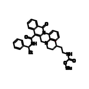 CCC(NC(=O)c1c(CN2CCC(CCNC(=O)OC(C)(C)C)CC2)n(-c2ccccc2)c(=O)c2ccccc12)c1ccccc1